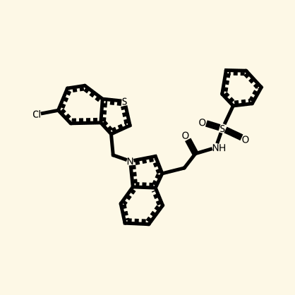 O=C(Cc1cn(Cc2csc3ccc(Cl)cc23)c2ccccc12)NS(=O)(=O)c1ccccc1